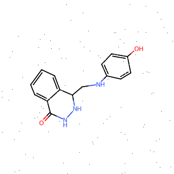 O=C1NNC(CNc2ccc(O)cc2)c2ccccc21